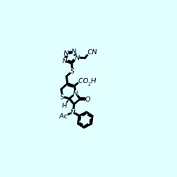 CC(=O)N(c1ccccc1)C1C(=O)N2C(C(=O)O)=C(CSc3nnnn3CC#N)CS[C@@H]12